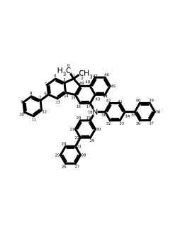 CC1(C)c2ccc(-c3ccccc3)cc2-c2cc(N(c3ccc(-c4ccccc4)cc3)c3ccc(-c4ccccc4)cc3)c3ccccc3c21